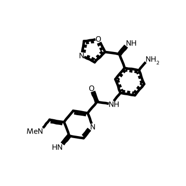 CN/C=C1/C=C(C(=O)Nc2ccc(N)c(C(=N)c3cnco3)c2)N=CC1=N